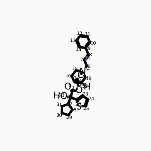 O=C(O[C@H]1C[N+]2(C/C=C/c3ccccc3)CCC1CC2)[C@](O)(c1cccs1)C1CCCC1